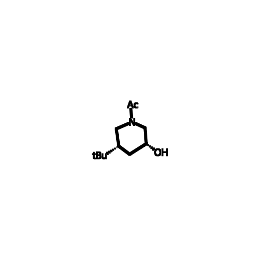 CC(=O)N1C[C@H](O)C[C@H](C(C)(C)C)C1